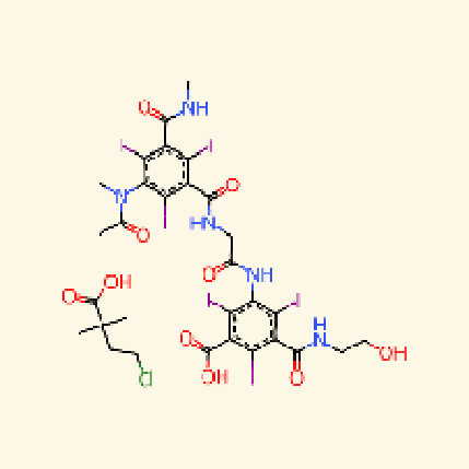 CC(C)(CCCl)C(=O)O.CNC(=O)c1c(I)c(C(=O)NCC(=O)Nc2c(I)c(C(=O)O)c(I)c(C(=O)NCCO)c2I)c(I)c(N(C)C(C)=O)c1I